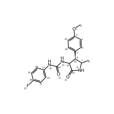 COc1ccc([C@H]2C(C)NC(=O)C2NC(=O)Nc2ccc(F)cc2)cc1